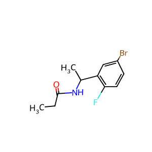 CCC(=O)NC(C)c1cc(Br)ccc1F